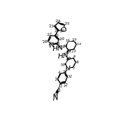 N#Cc1ccc(N2CCC[C@H](N[C@@H]3CCCC[C@H]3Nc3cc(-c4ccco4)ccn3)C2)cc1